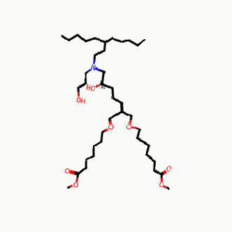 CCCCCC(CCCCC)CCN(CCCO)C[C@H](O)CCCC(COCCCCCCC(=O)OC)COCCCCCCC(=O)OC